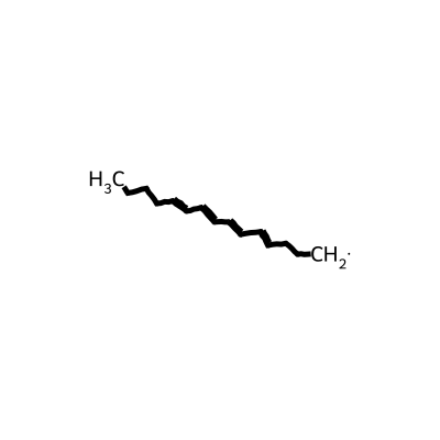 [CH2]CCC=CC=CC=CC=CCCCC